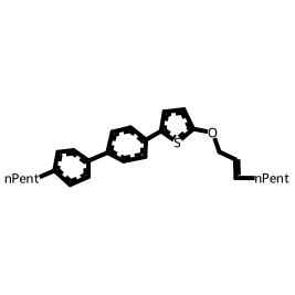 CCCCCC=CCOc1ccc(-c2ccc(-c3ccc(CCCCC)cc3)cc2)s1